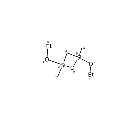 CCO[Si]1(C)C[Si](C)(OCC)O1